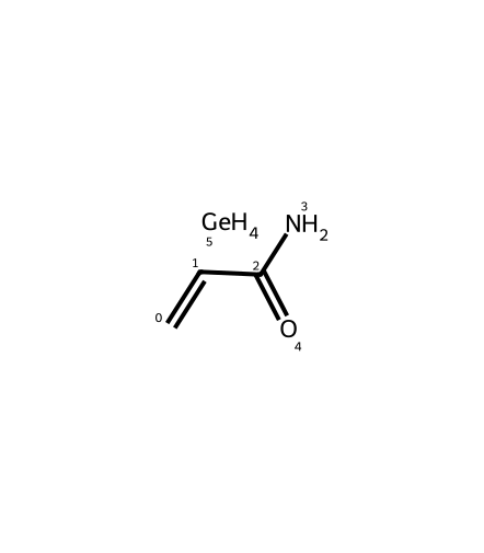 C=CC(N)=O.[GeH4]